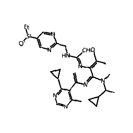 C=C(/N=C(\C(/N=C(\C=O)NCc1ncc([S+]([O-])CC)cn1)=C(C)C)N(C)C(C)C1CC1)c1c(C)ncnc1C1CC1